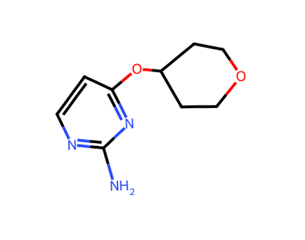 Nc1nccc(OC2CCOCC2)n1